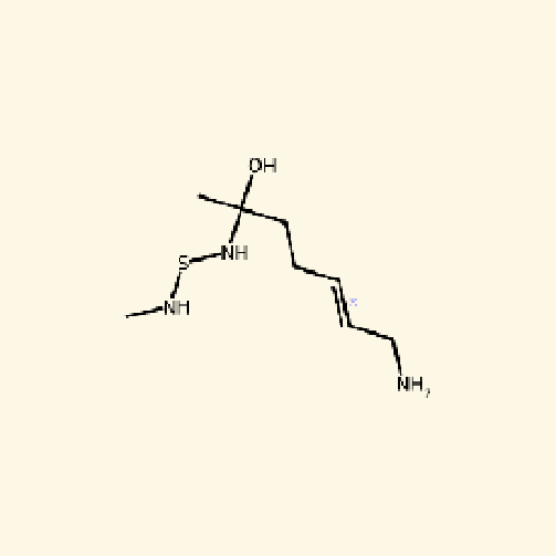 CNSNC(C)(O)CC/C=C/CN